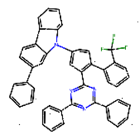 FC(F)(F)c1ccccc1-c1ccc(-n2c3ccccc3c3ccc(-c4ccccc4)cc32)cc1-c1nc(-c2ccccc2)nc(-c2ccccc2)n1